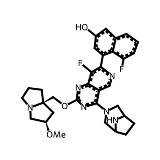 CO[C@H]1CN2CCC[C@]2(COc2nc(N3CC4CCC(C3)N4)c3cnc(-c4cc(O)cc5cccc(F)c45)c(F)c3n2)C1